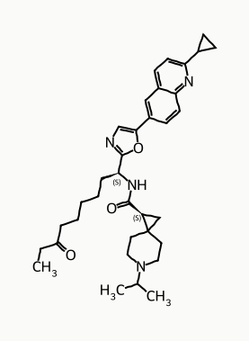 CCC(=O)CCCCC[C@H](NC(=O)[C@H]1CC12CCN(C(C)C)CC2)c1ncc(-c2ccc3nc(C4CC4)ccc3c2)o1